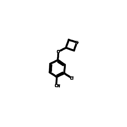 N#Cc1ccc(OC2C[N]C2)cc1Cl